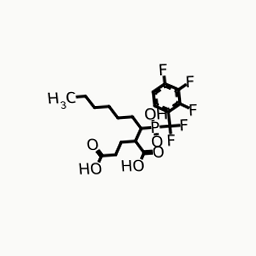 CCCCCCC(C(CCC(=O)O)C(=O)O)P(=O)(O)C(F)(F)c1ccc(F)c(F)c1F